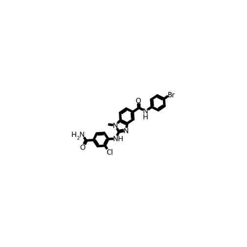 Cn1c(Nc2ccc(C(N)=O)cc2Cl)nc2cc(C(=O)Nc3ccc(Br)cc3)ccc21